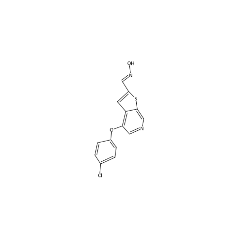 ON=Cc1cc2c(Oc3ccc(Cl)cc3)cncc2s1